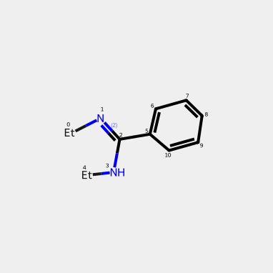 CC/N=C(\NCC)c1ccccc1